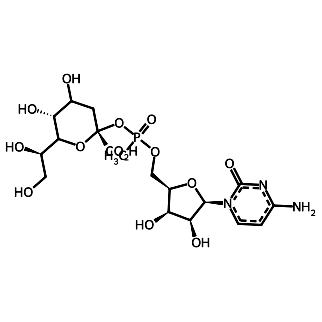 CP(=O)(OC[C@H]1O[C@@H](n2ccc(N)nc2=O)[C@@H](O)[C@H]1O)O[C@@]1(C(=O)O)CC(O)[C@@H](O)C([C@H](O)CO)O1